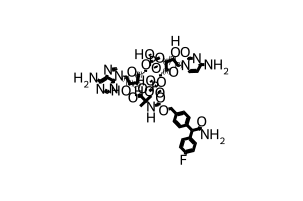 CC(C)(NC(=O)OCc1ccc(C(C(N)=O)c2ccc(F)cc2)cc1)C(=O)O[C@H]1[C@@H](O)[C@H](n2cnc3c(N)ncnc32)O[C@@H]1COP(=O)(O)O[C@H]1[C@@H](O)[C@H](n2ccc(N)nc2=O)O[C@@H]1COP(=O)(O)O